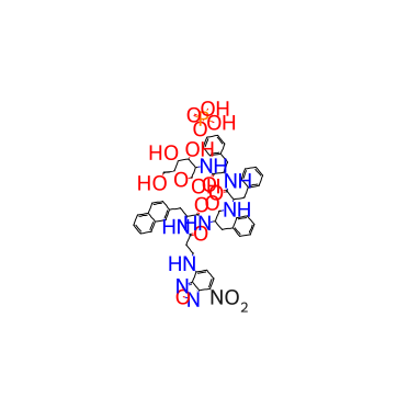 O=C(CCNc1ccc([N+](=O)[O-])c2nonc12)NC(Cc1ccc2ccccc2c1)C(=O)NC(Cc1ccccc1)C(=O)NC(Cc1ccccc1)C(=O)NC(Cc1ccc(OP(=O)(O)O)cc1)C(=O)NC1[C@@H](O)C(O)[C@H](CO)O[C@H]1O